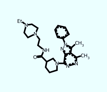 CCN1CCN(CCNC(=O)C2CCCN(c3nnc(C)c4c(C)n(-c5ccccc5)nc34)C2)CC1